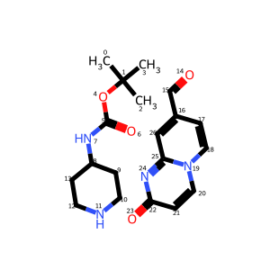 CC(C)(C)OC(=O)NC1CCNCC1.O=Cc1ccn2ccc(=O)nc2c1